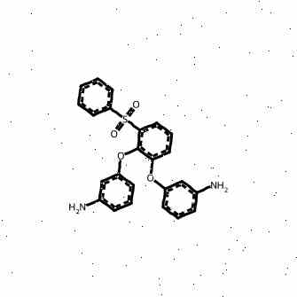 Nc1cccc(Oc2cccc(S(=O)(=O)c3ccccc3)c2Oc2cccc(N)c2)c1